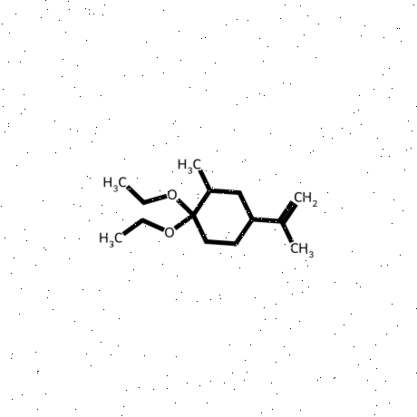 C=C(C)C1CCC(OCC)(OCC)C(C)C1